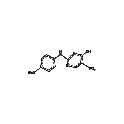 CSc1ccc(Nc2ncc([N+](=O)[O-])c(O)n2)cc1